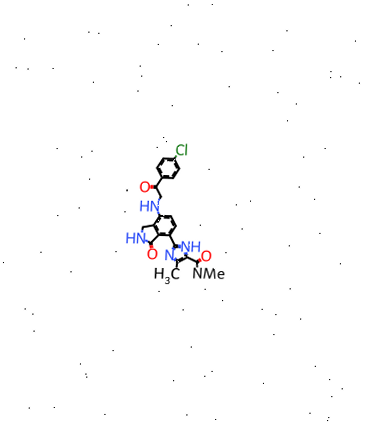 CNC(=O)c1[nH]c(-c2ccc(NCC(=O)c3ccc(Cl)cc3)c3c2C(=O)NC3)nc1C